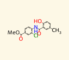 COC(=O)c1ccc(NC(=O)c2cc(C)ccc2O)c(Cl)c1